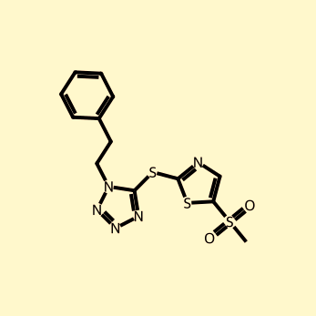 CS(=O)(=O)c1cnc(Sc2nnnn2CCc2ccccc2)s1